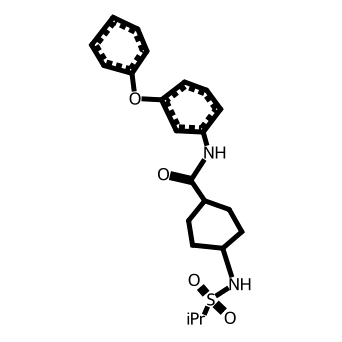 CC(C)S(=O)(=O)NC1CCC(C(=O)Nc2cccc(Oc3ccccc3)c2)CC1